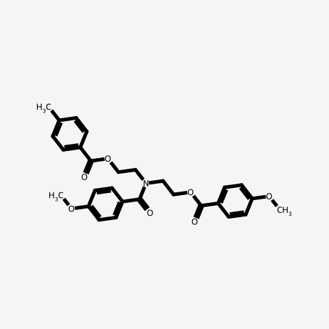 COc1ccc(C(=O)OCCN(CCOC(=O)c2ccc(C)cc2)C(=O)c2ccc(OC)cc2)cc1